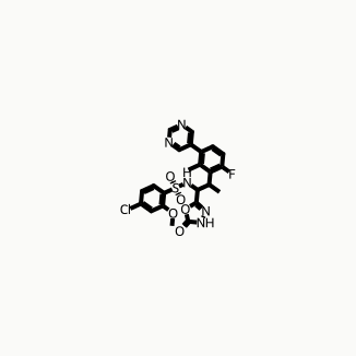 COc1cc(Cl)ccc1S(=O)(=O)NC(c1n[nH]c(=O)o1)C(C)c1c(F)ccc(-c2cncnc2)c1C